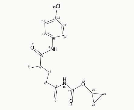 C=C(CCC(C)C(=O)Nc1ccc(Cl)cc1)NC(=O)OC1CC1